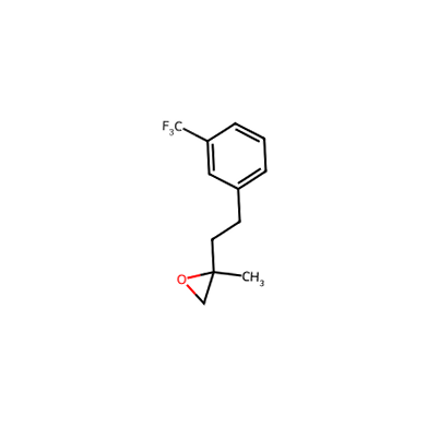 CC1(CCc2cccc(C(F)(F)F)c2)CO1